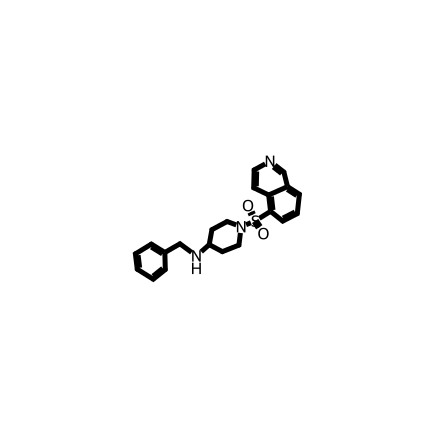 O=S(=O)(c1cccc2cnccc12)N1CCC(NCc2ccccc2)CC1